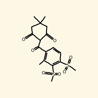 Cc1c(C(=O)C2C(=O)CC(C)(C)CC2=O)ccc(S(C)(=O)=O)c1S(C)(=O)=O